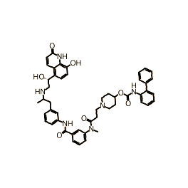 CC(Cc1cccc(NC(=O)c2cccc(N(C)C(=O)CCN3CCC(OC(=O)Nc4ccccc4-c4ccccc4)CC3)c2)c1)NC[C@H](O)c1ccc(O)c2[nH]c(=O)ccc12